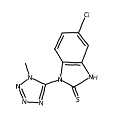 Cn1nnnc1-n1c(=S)[nH]c2cc(Cl)ccc21